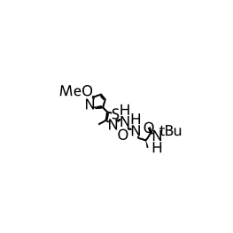 COc1ccc(-c2sc(NC(=O)NC[C@H](C)C(=O)NC(C)(C)C)nc2C)cn1